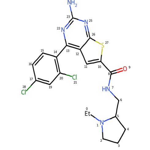 CCN1CCCC1CNC(=O)c1cc2c(-c3ccc(Cl)cc3Cl)nc(N)nc2s1